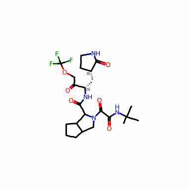 CC(C)(C)NC(=O)C(=O)N1CC2CCCC2C1C(=O)N[C@@H](C[C@@H]1CCNC1=O)C(=O)COC(F)(F)F